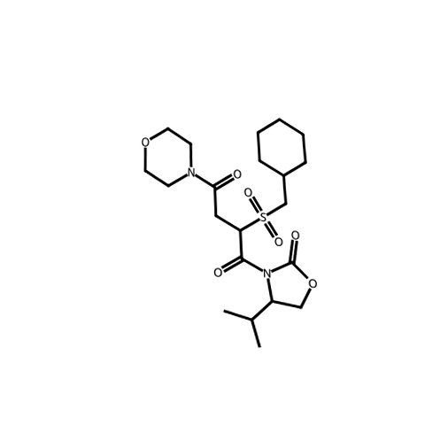 CC(C)C1COC(=O)N1C(=O)C(CC(=O)N1CCOCC1)S(=O)(=O)CC1CCCCC1